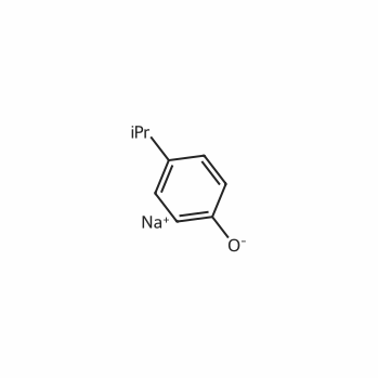 CC(C)c1ccc([O-])cc1.[Na+]